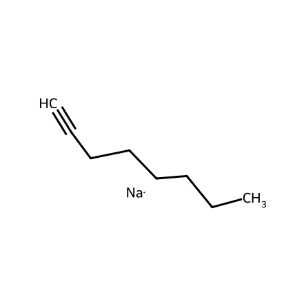 C#CCCCCCC.[Na]